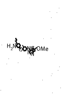 C=CSc1ccc(Oc2ccc(Nc3ncnc4cc(COC)sc34)cc2C)cc1N